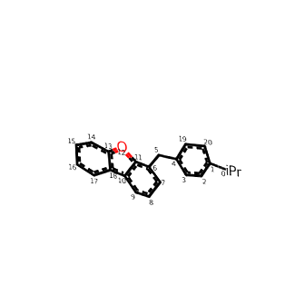 CC(C)c1ccc(Cc2cccc3c2oc2ccccc23)cc1